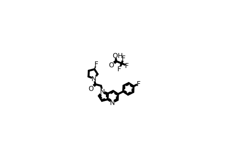 O=C(Cn1ccc2ncc(-c3ccc(F)cc3)cc21)N1CC[C@@H](F)C1.O=C(O)C(F)(F)F